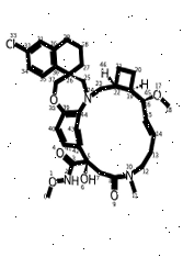 CONC(=O)[C@@]1(O)CC(=O)N(C)CC/C=C/[C@H](OC)[C@@H]2CC[C@H]2CN2C[C@@]3(CCCc4cc(Cl)ccc43)COc3ccc1cc32